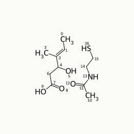 C/C=C(\C)C(O)CC(=O)O.CC(=O)NCCS